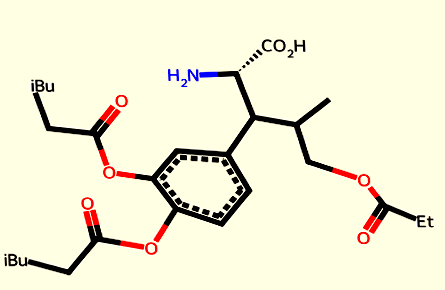 CCC(=O)OCC(C)C(c1ccc(OC(=O)CC(C)CC)c(OC(=O)CC(C)CC)c1)[C@H](N)C(=O)O